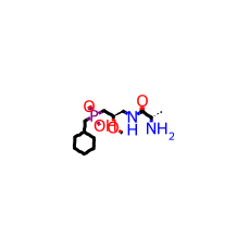 CO[C@H](CNC(=O)[C@H](C)N)CP(=O)(O)CC1CCCCC1